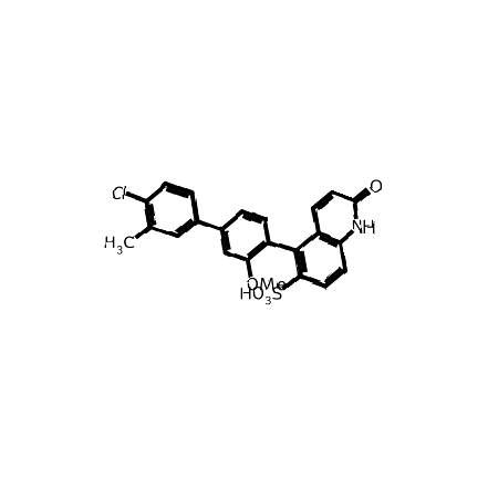 COc1cc(-c2ccc(Cl)c(C)c2)ccc1-c1c(S(=O)(=O)O)ccc2[nH]c(=O)ccc12